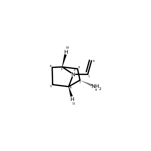 C=CN1[C@@H]2CC[C@H]1[C@@H](N)C2